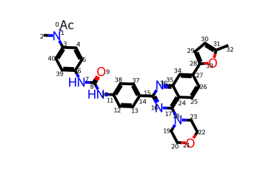 CC(=O)N(C)c1ccc(NC(=O)Nc2ccc(-c3nc(N4CCOCC4)c4ccc(-c5ccc(C)o5)cc4n3)cc2)cc1